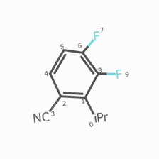 CC(C)c1c(C#N)ccc(F)c1F